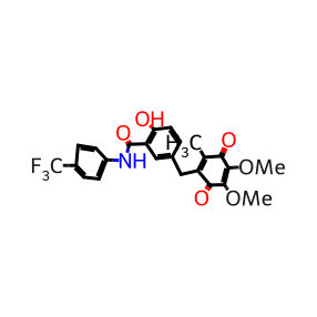 COC1=C(OC)C(=O)C(Cc2ccc(O)c(C(=O)Nc3ccc(C(F)(F)F)cc3)c2)=C(C)C1=O